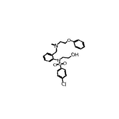 CN(CCOc1ccccc1)Cc1ccccc1N(CCO)S(=O)(=O)c1ccc(Cl)cc1